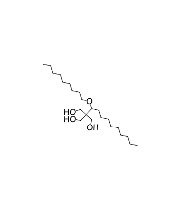 CCCCCCCCCOC(CCCCCCCCC)C(CO)(CO)CO